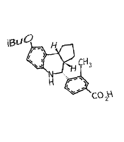 Cc1cc(C(=O)O)ccc1[C@@H]1Nc2ccc(OCC(C)C)cc2[C@@H]2CCC[C@@H]21